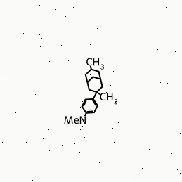 CNc1ccc(C2(C)CC3CC(C)CC(C3)C2)cc1